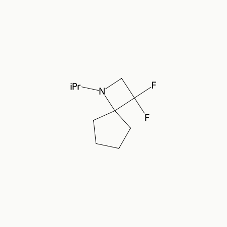 CC(C)N1CC(F)(F)C12CCCC2